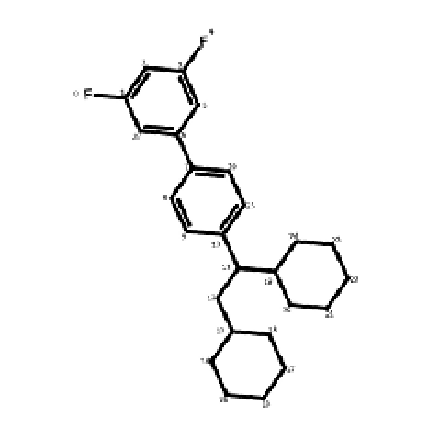 Fc1cc(F)cc(-c2ccc(C(CC3CCCCC3)C3CCCCC3)cc2)c1